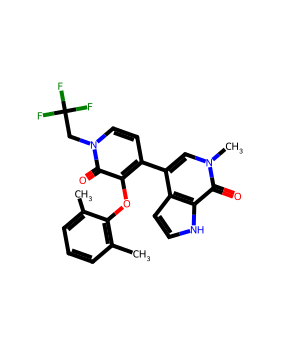 Cc1cccc(C)c1Oc1c(-c2cn(C)c(=O)c3[nH]ccc23)ccn(CC(F)(F)F)c1=O